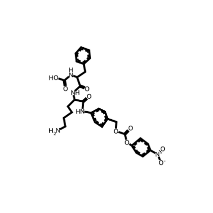 NCCCCC(NC(=O)C(Cc1ccccc1)NC(=O)O)C(=O)Nc1ccc(COC(=O)Oc2ccc([N+](=O)[O-])cc2)cc1